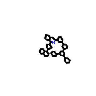 c1ccc(-c2cc(-c3ccccc3)cc(-c3cccc(-c4cccc(-c5cc6ccccc6c(-c6ccc(-c7cccc8ccccc78)cc6)n5)c4)c3)c2)cc1